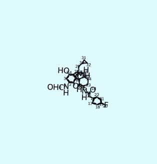 O=CNc1cc(O)c2c3c1O[C@H]1[C@H](NC(=O)Cc4ccc(F)cc4)CC[C@H]4[C@@H](C2)N(CC2CC2)CC[C@@]341